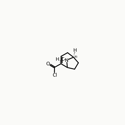 CN1C2CC[C@@H]1CC=C2C(=O)Cl